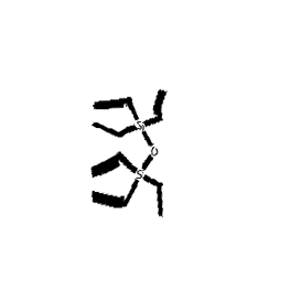 C=C[Si](C=C)(CC)O[Si](C=C)(C=C)CC